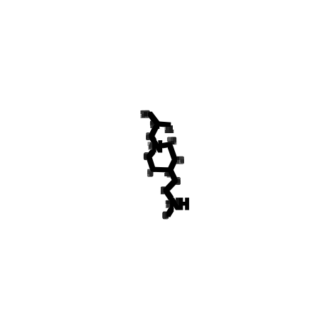 CNCCC1CCN(C[C](C)C)CC1